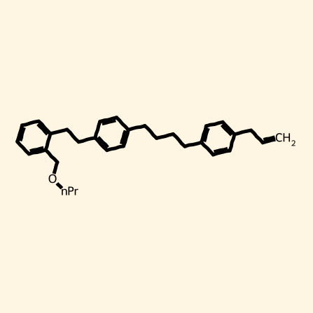 C=CCc1ccc(CCCCc2ccc(CCc3ccccc3COCCC)cc2)cc1